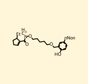 CCCCCCCCCc1ccc(O)c(COCCCCCON(C)C(=O)C2=CCCC2CC)c1